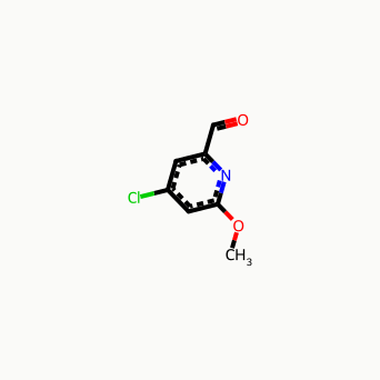 COc1cc(Cl)cc(C=O)n1